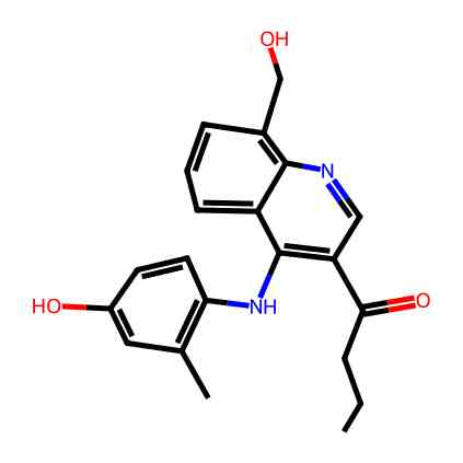 CCCC(=O)c1cnc2c(CO)cccc2c1Nc1ccc(O)cc1C